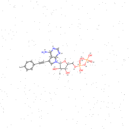 Cc1ccc(C#Cc2cn(C3OC(COP(=O)(O)OP(=O)(O)O)C(O)[C@@]3(C)O)c3ncnc(N)c23)cc1